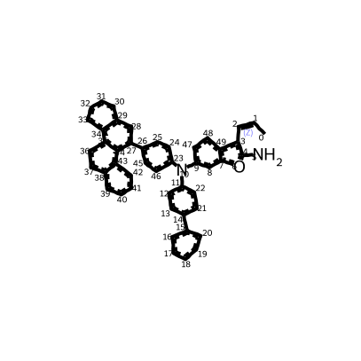 C/C=C\c1c(N)oc2cc(N(c3ccc(-c4ccccc4)cc3)c3ccc(-c4cc5ccccc5c5ccc6ccccc6c45)cc3)ccc12